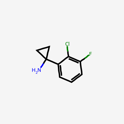 NC1(c2cccc(F)c2Cl)CC1